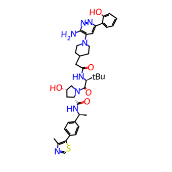 Cc1ncsc1-c1ccc([C@H](C)NC(=O)[C@@H]2C[C@H](O)CN2C(=O)[C@@H](NC(=O)CC2CCN(c3cc(-c4ccccc4O)nnc3N)CC2)C(C)(C)C)cc1